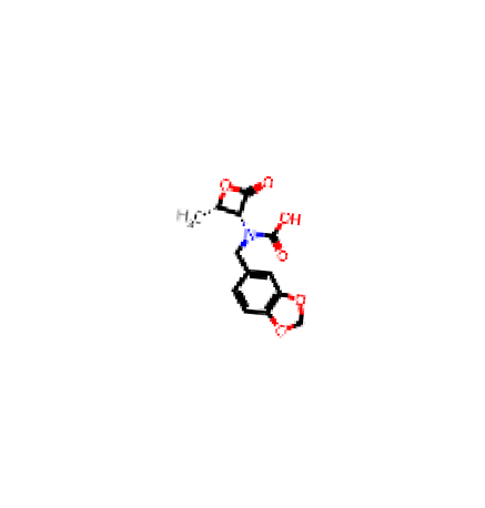 C[C@@H]1OC(=O)[C@@H]1N(Cc1ccc2c(c1)OCO2)C(=O)O